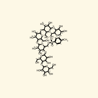 Cc1ccc(S(=O)(=O)OCC2OC(OC3C(CO)OC(OC4C(CO)OC(OC5C(CO)OCC(O)C5O)C(O)C4O)C(O)C3O)C(O)C(O)C2OC2OC(CO)C(OC3OC(CO)C(O)C(O)C3O)C(O)C2O)cc1